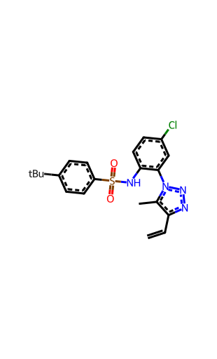 C=Cc1nnn(-c2cc(Cl)ccc2NS(=O)(=O)c2ccc(C(C)(C)C)cc2)c1C